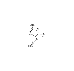 C#CCC1NCC(C(C)(C)C)NC1C(C)(C)C